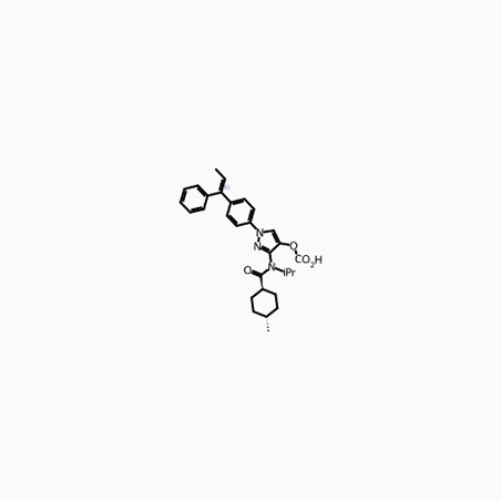 C/C=C(\c1ccccc1)c1ccc(-n2cc(OC(=O)O)c(N(C(=O)[C@H]3CC[C@H](C)CC3)C(C)C)n2)cc1